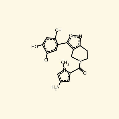 Cn1cc(N)cc1C(=O)N1CCc2noc(-c3cc(Cl)c(O)cc3O)c2C1